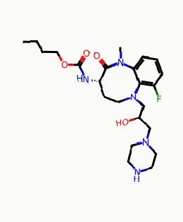 CCCCOC(=O)N[C@H]1CCN(CC(O)CN2CCNCC2)c2c(F)cccc2N(C)C1=O